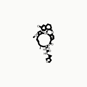 CO[C@H]1/C=C/C[C@H](C)CS(=O)(NC(=O)N[C@H]2CC23CCOC3)=NC(=O)c2ccc3c(c2)N(C[C@@H]2CC[C@H]21)C[C@@]1(CCCc2cc(Cl)ccc21)CO3